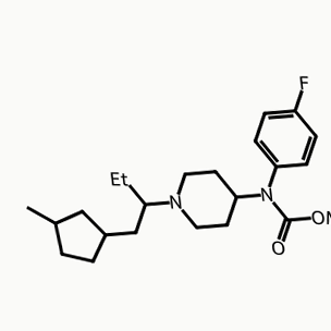 CCC(CC1CCC(C)C1)N1CCC(N(C(=O)OC)c2ccc(F)cc2)CC1